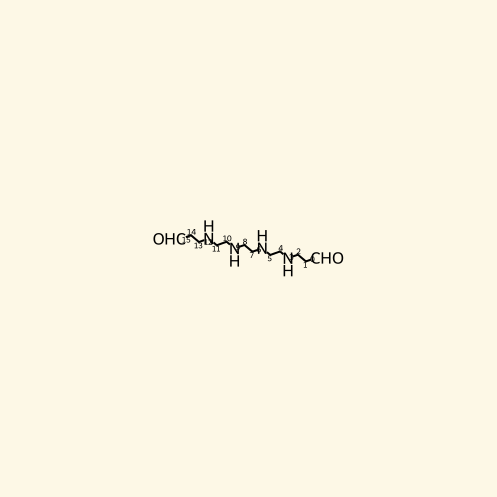 O=CCCNCCNCCNCCNCCC=O